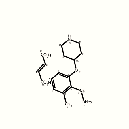 CCCCCCNc1c(C)cccc1OC1CCNCC1.O=C(O)C=CC(=O)O